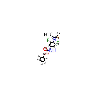 C=C1N(c2c(F)cc(NC(=O)OCc3ccccc3)cc2F)C12CS2